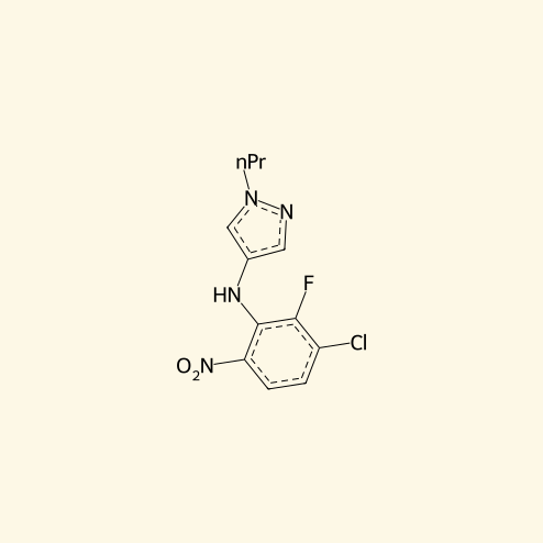 CCCn1cc(Nc2c([N+](=O)[O-])ccc(Cl)c2F)cn1